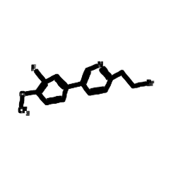 Fc1cc(-c2ccc(CCBr)nc2)ccc1OC(F)(F)F